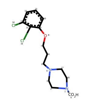 O=C(O)N1CCN(CCCOc2cccc(Cl)c2Cl)CC1